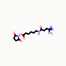 CC1(CCC(=O)NCCCCCC(=O)ON2C(=O)CCC2=O)N=N1